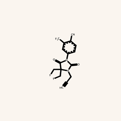 C#CCN1C(=O)N(c2ccc(C#N)c(C(F)(F)F)c2)C(=O)C1(CF)CF